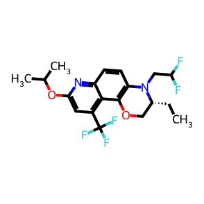 CC[C@@H]1COc2c(ccc3nc(OC(C)C)cc(C(F)(F)F)c23)N1CC(F)F